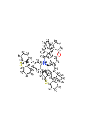 c1ccc2c(c1)Oc1ccccc1C21c2ccccc2-c2ccc(N(c3ccc(-c4cccc5sc6ccccc6c45)cc3)c3ccc4c(c3)C3(c5ccccc5Sc5ccccc53)c3ccccc3-4)cc21